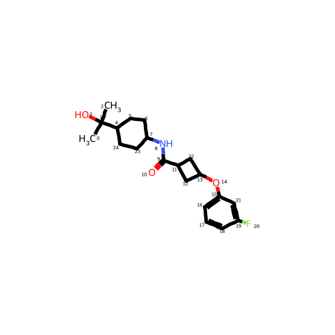 CC(C)(O)C1CCC(NC(=O)C2CC(Oc3cccc(F)c3)C2)CC1